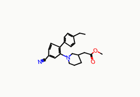 CCc1ccc(-c2ccc(C#N)cc2N2CCCC(CC(=O)OC)C2)cc1